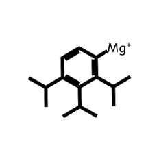 CC(C)c1cc[c]([Mg+])c(C(C)C)c1C(C)C